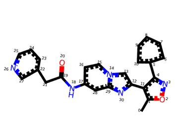 Cc1onc(-c2ccccc2)c1-c1cn2ccc(NC(=O)Cc3cccnc3)cc2n1